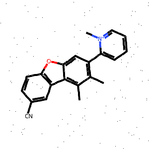 Cc1c(-c2cccc[n+]2C)cc2oc3ccc(C#N)cc3c2c1C